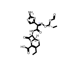 CCC1=C(C(=O)O)N2C(=O)[C@@H](NC(=O)/C(=N\O[C@@H](CC)OC=O)c3csc(N)n3)[C@H]2SC1